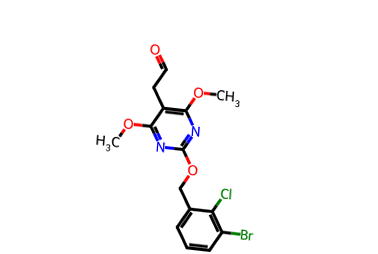 COc1nc(OCc2cccc(Br)c2Cl)nc(OC)c1CC=O